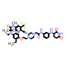 CCc1cc(N(C=S)C(C)(C)C(=O)N(C)c2cnc(C#N)c(C(F)(F)F)c2)ccc1OCCN1CCN(CC(=O)Nc2cccc(NC3CCC(=O)NC3=O)c2)CC1